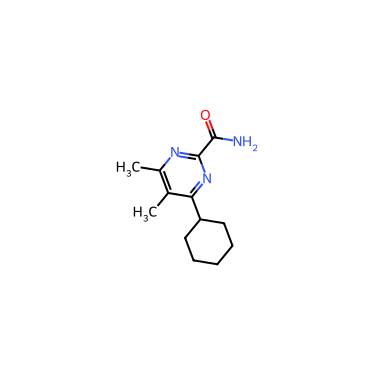 Cc1nc(C(N)=O)nc(C2CCCCC2)c1C